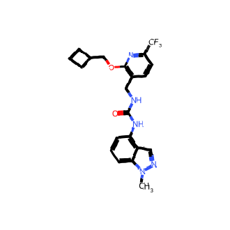 Cn1ncc2c(NC(=O)NCc3ccc(C(F)(F)F)nc3OCC3CCC3)cccc21